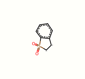 O=S1(=O)[C][C]c2ccccc21